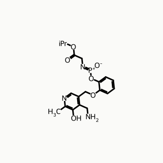 Cc1ncc(COc2ccccc2O/[P+]([O-])=N/CC(=O)OC(C)C)c(CN)c1O